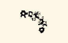 Cc1cccc(N2CCN(C[C@@H](O)CNC(=O)c3nc(C)n(-c4ccccc4)c3C)CC2)c1C.Cl.Cl